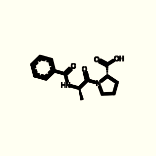 C[C@@H](NC(=O)c1ccccc1)C(=O)N1CCC[C@H]1C(=O)O